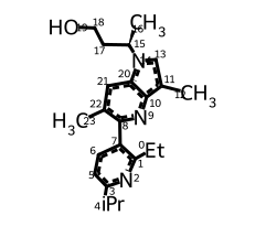 CCc1nc(C(C)C)ccc1-c1nc2c(C)cn([C@H](C)CCO)c2cc1C